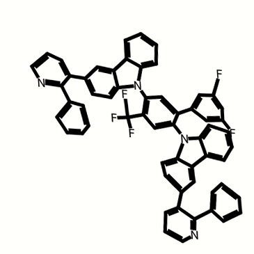 Fc1cc(F)cc(-c2cc(-n3c4ccccc4c4cc(-c5cccnc5-c5ccccc5)ccc43)c(C(F)(F)F)cc2-n2c3ccccc3c3cc(-c4cccnc4-c4ccccc4)ccc32)c1